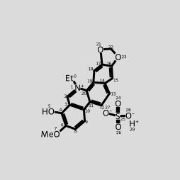 CC[n+]1cc2c(O)c(OC)ccc2c2ccc3cc4c(cc3c21)OCO4.O=S(=O)([O-])[O-].[H+]